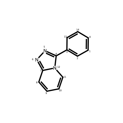 c1ccc(-c2nnc3ccccn23)cc1